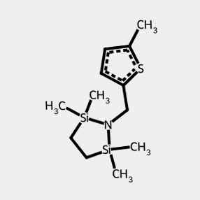 Cc1ccc(CN2[Si](C)(C)CC[Si]2(C)C)s1